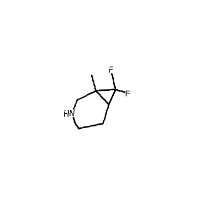 CC12CNCCC1C2(F)F